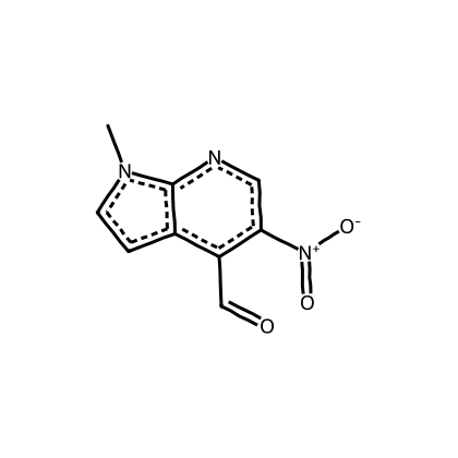 Cn1ccc2c(C=O)c([N+](=O)[O-])cnc21